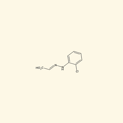 O=C(O)/C=N/Nc1ccccc1Cl